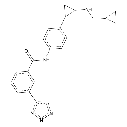 O=C(Nc1ccc(C2CC2NCC2CC2)cc1)c1cccc(-n2cnnn2)c1